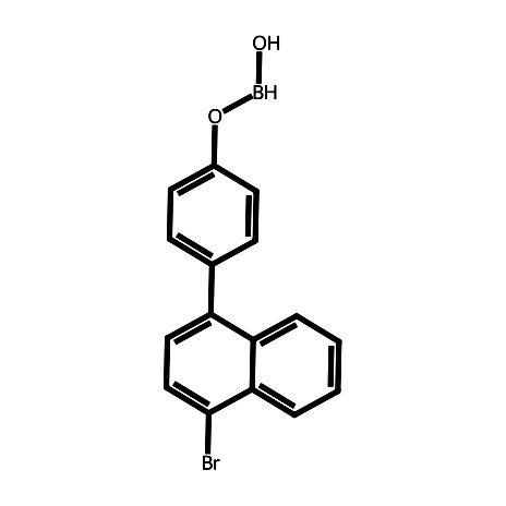 OBOc1ccc(-c2ccc(Br)c3ccccc23)cc1